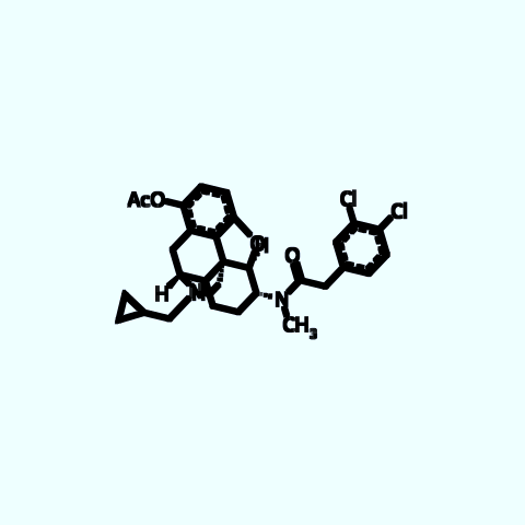 CC(=O)Oc1ccc2c3c1C[C@@H]1[C@@H]4CC[C@@H](N(C)C(=O)Cc5ccc(Cl)c(Cl)c5)[C@H](O2)[C@]34CCN1CC1CC1